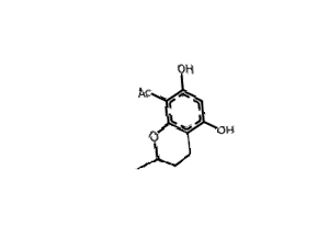 CC(=O)c1c(O)cc(O)c2c1OC(C)CC2